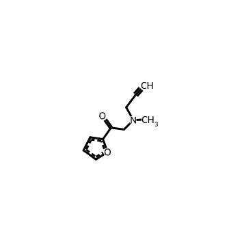 C#CCN(C)CC(=O)c1ccco1